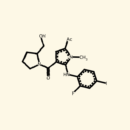 CC(=O)c1cc(C(=O)N2CCCC2CO)c(Nc2ccc(I)cc2F)n1C